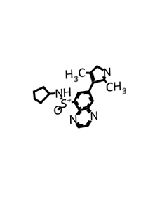 CC1=NCC(C)=C1c1cc([S+]([O-])NC2CCCC2)c2nccnc2c1